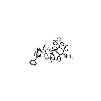 COC1C(SC2COCC(n3cc(-c4ccccc4)nn3)C2OC(C)=O)OC(COC(C)=O)C(OC(C)=O)C1N